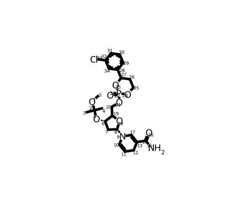 COC(C)(C)O[C@H]1C[C@H](N2C=CCC(C(N)=O)=C2)OC1COP1(=O)OCCC(c2cccc(Cl)c2)O1